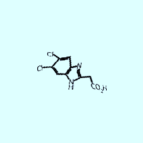 O=C(O)Cc1nc2cc(Cl)c(Cl)cc2[nH]1